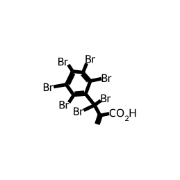 C=C(C(=O)O)C(Br)(Br)c1c(Br)c(Br)c(Br)c(Br)c1Br